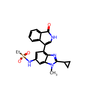 CCS(=O)(=O)Nc1cc(-c2c[nH]c(=O)c3ccccc23)c2nc(C3CC3)n(C)c2c1